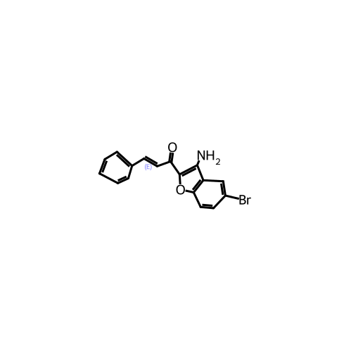 Nc1c(C(=O)/C=C/c2ccccc2)oc2ccc(Br)cc12